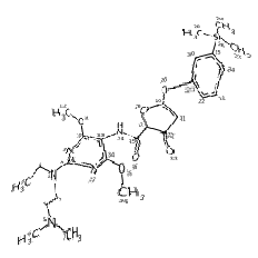 CCN(CCN(C)C)c1nc(OC)c(NC(=O)C2OC(Oc3cccc([Si](C)(C)C)c3)=CC2=O)c(OC)n1